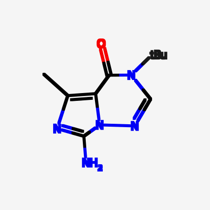 Cc1nc(N)n2ncn(C(C)(C)C)c(=O)c12